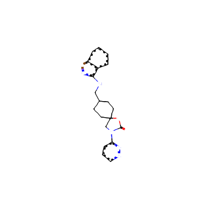 O=C1OC2(CCC(CNc3nsc4ccccc34)CC2)CN1c1cccnn1